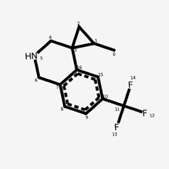 CC1CC12CNCc1ccc(C(F)(F)F)cc12